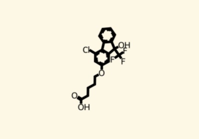 O=C(O)CCCCOc1cc(Cl)c2c(c1)C(O)(C(F)(F)F)c1ccccc1-2